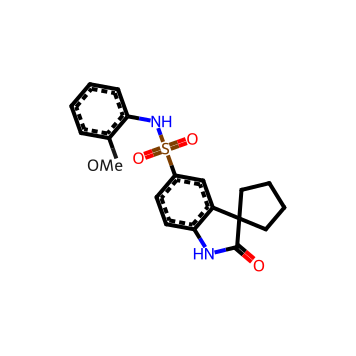 COc1ccccc1NS(=O)(=O)c1ccc2c(c1)C1(CCCC1)C(=O)N2